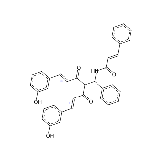 O=C(C=Cc1ccccc1)NC(c1ccccc1)C(C(=O)/C=C/c1cccc(O)c1)C(=O)/C=C/c1cccc(O)c1